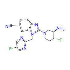 N#Cc1ccc2nc(N3CC[C@@H](F)[C@H](N)C3)n(Cc3ncc(F)cn3)c2c1